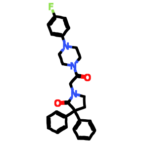 O=C(CN1CCC(c2ccccc2)(c2ccccc2)C1=O)N1CCN(c2ccc(F)cc2)CC1